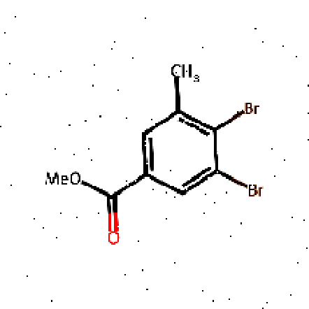 COC(=O)c1cc(C)c(Br)c(Br)c1